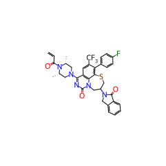 C=CC(=O)N1[C@H](C)CN(c2nc(=O)n3c4c(c(-c5ccc(F)cc5)c(C(F)(F)F)cc24)SC[C@@H](N2Cc4ccccc4C2=O)C3)C[C@@H]1C